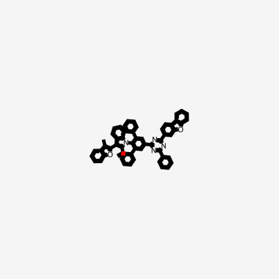 C=Cc1c(-c2oc3ccccc3c2C)c2ccccc2n1-c1c(-c2ccccc2)cc(-c2nc(-c3ccccc3)nc(-c3ccc4c(c3)oc3ccccc34)n2)cc1-c1ccccc1